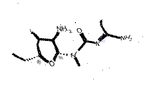 CC[C@H]1O[C@@H](N(C)C(=O)/N=C(\C)N)C(N)C1I